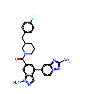 Cn1ncc2c(-c3ccn4nc(N)nc4c3)cc(C(=O)N3CCCC(Cc4ccc(F)cc4)C3)cc21